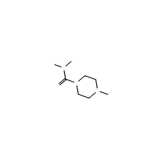 CC(C)N(C(=O)N1CCN(C)CC1)C(C)C